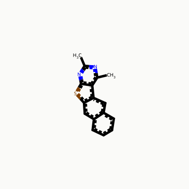 Cc1nc(C)c2c(n1)sc1cc3ccccc3cc12